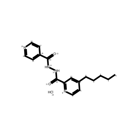 CCCCCc1ccnc(C(=O)NNC(=O)c2ccncc2)c1.Cl